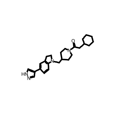 O=C(CC1CCCCC1)N1CCC(CN2CCc3cc(-c4cn[nH]c4)ccc32)CC1